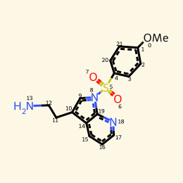 COc1ccc(S(=O)(=O)n2cc(CCN)c3cccnc32)cc1